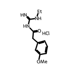 CCNC(=N)NC(=O)Cc1cccc(OC)c1.Cl